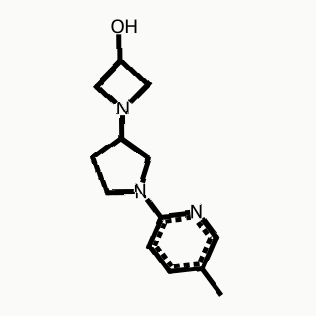 Cc1ccc(N2CCC(N3CC(O)C3)C2)nc1